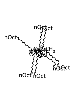 CCCCCCCC/C=C/CCCCCCCC(=O)NN(C(=O)CCCCCCC/C=C/CCCCCCCC)N(C(=O)CCCCCCC/C=C/CCCCCCCC)N(C(=O)CCCCCCC/C=C/CCCCCCCC)N(C(=O)CCCCCCC/C=C/CCCCCCCC)N(C(=O)CCCCCCC/C=C/CCCCCCCC)N(C)C(=O)CCCCCCC/C=C/CCCCCCCC